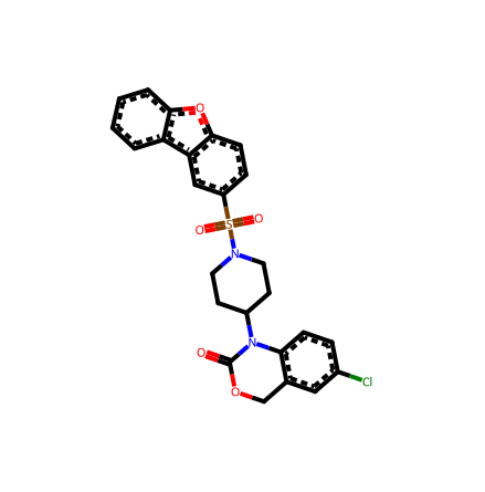 O=C1OCc2cc(Cl)ccc2N1C1CCN(S(=O)(=O)c2ccc3oc4ccccc4c3c2)CC1